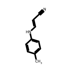 Cc1ccc(NC=CC#N)cc1